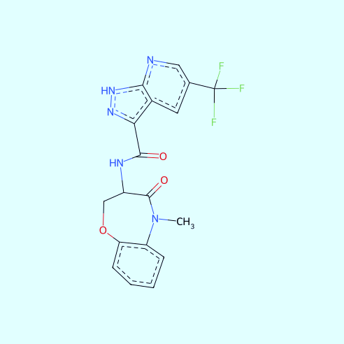 CN1C(=O)C(NC(=O)c2n[nH]c3ncc(C(F)(F)F)cc23)COc2ccccc21